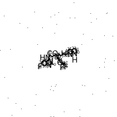 Cc1nc(NC(CCN(CCCCc2ccc3c(n2)NCCC3)CCOC2CC2(F)F)C(=O)O)c2ccc(F)cc2n1